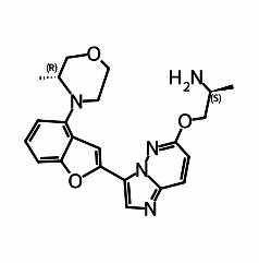 C[C@H](N)COc1ccc2ncc(-c3cc4c(N5CCOC[C@H]5C)cccc4o3)n2n1